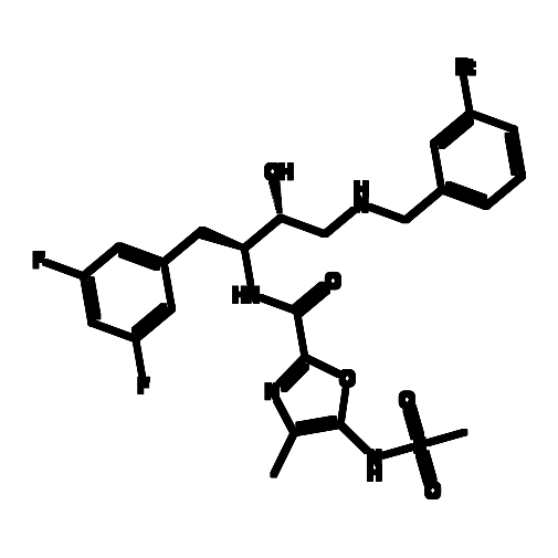 CCc1cccc(CNC[C@@H](O)[C@H](Cc2cc(F)cc(F)c2)NC(=O)c2nc(C)c(NS(C)(=O)=O)o2)c1